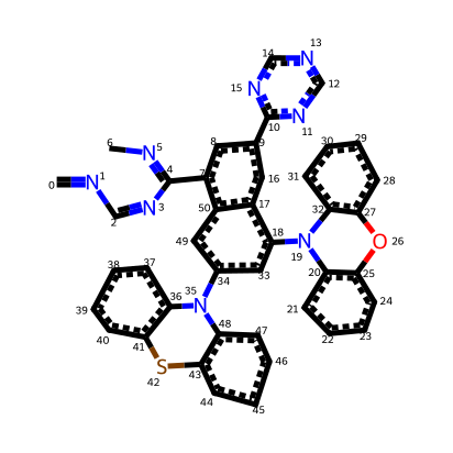 C=N/C=N\C(=N/C)c1cc(-c2ncncn2)cc2c(N3c4ccccc4Oc4ccccc43)cc(N3c4ccccc4Sc4ccccc43)cc12